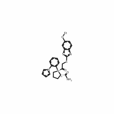 CCOc1ccc2nc(SCC(=O)[N+]3(c4ccccc4-n4cccc4)CCC[C@H]3C(N)=O)sc2c1